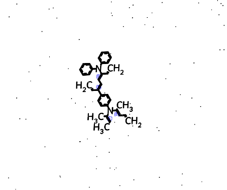 C=C/C=C(\C)N(/C(C)=C/C)c1ccc(/C(C=C)=C/C=C(\C=C)N(c2ccccc2)c2ccccc2)cc1